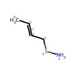 C/C=C/CSN